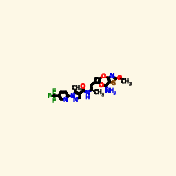 COc1nc(OC2CC(C[C@H](C)NC(=O)c3cnn(-c4ccc(C(F)(F)F)cn4)c3C)C2)c(C(N)=O)s1